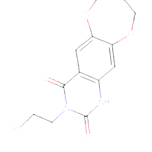 O=c1[nH]c2cc3c(cc2c(=O)n1CCCl)OCCCO3